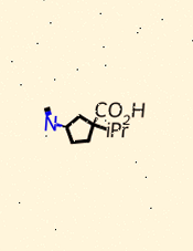 C=N[C@@H]1CC[C@@](C(=O)O)(C(C)C)C1